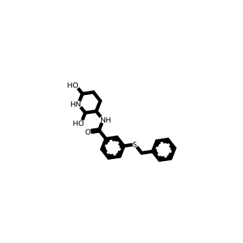 O=C(NC1CCC(O)NC1O)c1cccc(SCc2ccccc2)c1